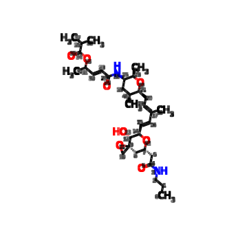 CCCNC(=O)C[C@@H]1C[C@@]2(CO2)[C@H](O)[C@@H](C=CC(C)=CC[C@@H]2O[C@H](C)[C@H](NC(=O)C=CC(C)OC(=O)C(C)C)C[C@@H]2C)O1